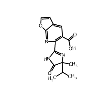 CC(C)C1(C)N=C(c2nc3occc3cc2C(=O)O)NC1=O